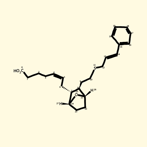 O=C(O)CCC/C=C\C[C@@H]1[C@@H](CCSCC=Cc2ccccc2)[C@@H]2CC[C@H]1O2